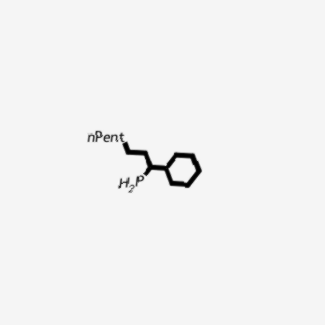 CCCCCCCC(P)C1CCCCC1